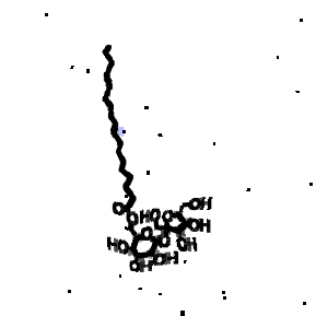 CCCCCCCC/C=C/CCCCCCCC(=O)OC[C@H]1O[C@H](O[C@]2(CO)O[C@H](CO)[C@@H](O)[C@@H]2O)[C@H](O)[C@@H](O)[C@@H]1O